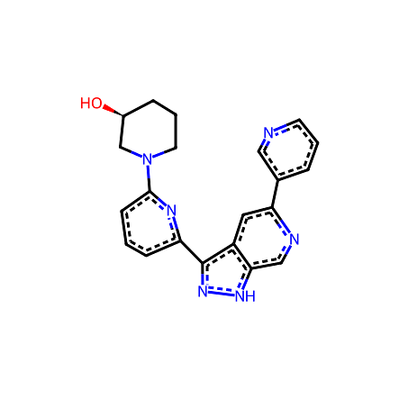 O[C@H]1CCCN(c2cccc(-c3n[nH]c4cnc(-c5cccnc5)cc34)n2)C1